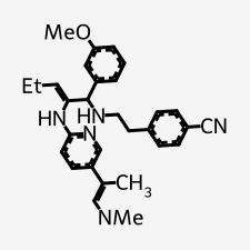 CC/C=C(\Nc1ccc(/C(C)=C/NC)cn1)C(NCCc1ccc(C#N)cc1)c1cccc(OC)c1